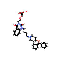 O=C(O)COCCn1c(=O)c2ccccc2n(CCCCN2CCC(OC(c3ccccc3)c3ccccc3)CC2)c1=O